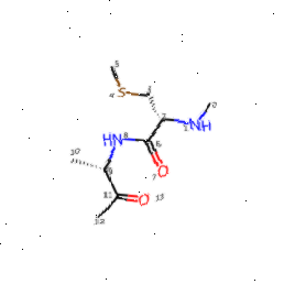 CN[C@@H](CSC)C(=O)N[C@@H](C)C(C)=O